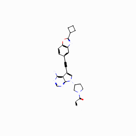 C=CC(=O)N1CC[C@H](n2cc(C#Cc3ccc4oc(C5CCC5)nc4c3)c3c(N)ncnc32)C1